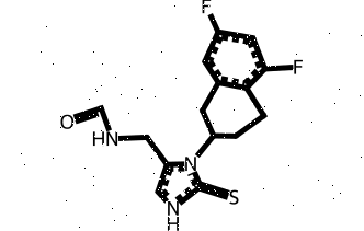 O=CNCc1c[nH]c(=S)n1C1CCc2c(F)cc(F)cc2C1